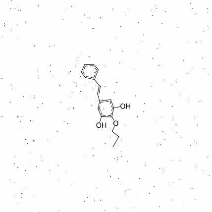 CCCOc1c(O)cc(C=Cc2ccccc2)cc1O